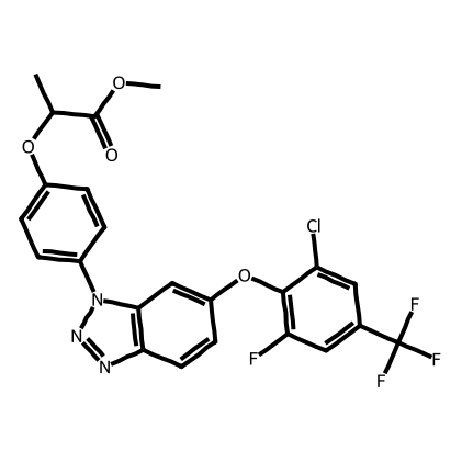 COC(=O)C(C)Oc1ccc(-n2nnc3ccc(Oc4c(F)cc(C(F)(F)F)cc4Cl)cc32)cc1